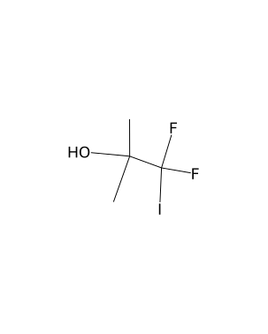 CC(C)(O)C(F)(F)I